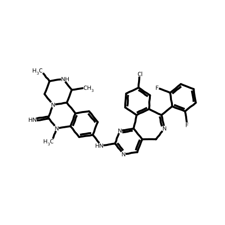 CC1CN2C(=N)N(C)c3cc(Nc4ncc5c(n4)-c4ccc(Cl)cc4C(c4c(F)cccc4F)=NC5)ccc3C2C(C)N1